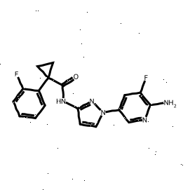 Nc1ncc(-n2ccc(NC(=O)C3(c4ccccc4F)CC3)n2)cc1F